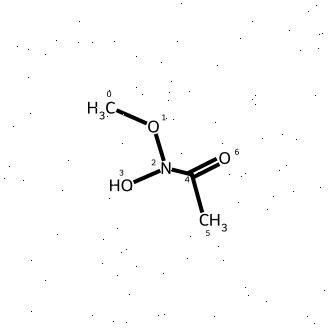 CON(O)C(C)=O